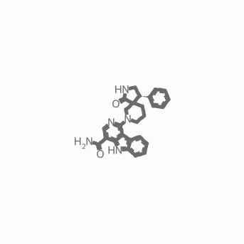 NC(=O)c1cnc(N2CCCC3(C2)C(=O)NC[C@@H]3c2ccccc2)c2c1[nH]c1ccccc12